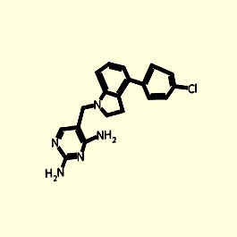 Nc1ncc(CN2CCc3c(-c4ccc(Cl)cc4)cccc32)c(N)n1